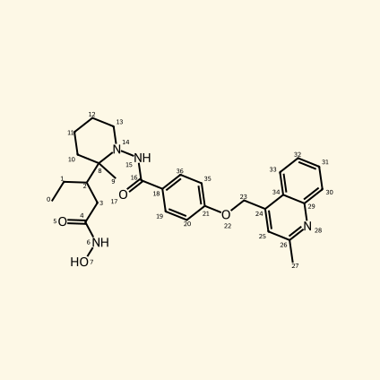 CCC(CC(=O)NO)C1(C)CCCCN1NC(=O)c1ccc(OCc2cc(C)nc3ccccc23)cc1